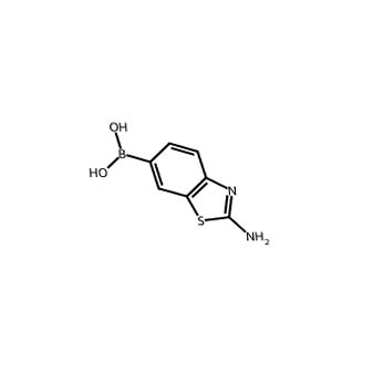 Nc1nc2ccc(B(O)O)cc2s1